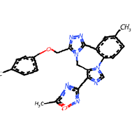 Cc1ccc(OCc2nnc3n2Cc2c(-c4noc(C)n4)ncn2-c2ccc(C)cc2-3)cc1